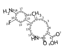 Cc1cccc(C(=O)O)c(=O)[nH]ccc1-c1ccc(N)c(F)c1